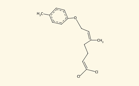 CC(=CCOc1ccc(C)cc1)CCC=C(Cl)Cl